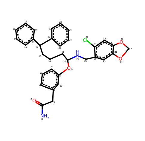 NC(=O)Cc1cccc(OC(CCCC(c2ccccc2)c2ccccc2)NCc2cc3c(cc2Cl)OCO3)c1